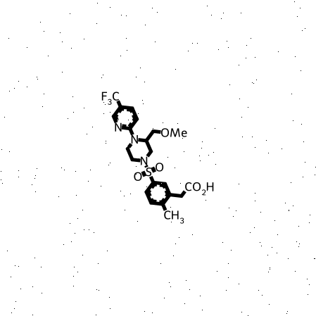 COCC1CN(S(=O)(=O)c2ccc(C)c(CC(=O)O)c2)CCN1c1ccc(C(F)(F)F)cn1